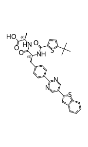 C[C@@H](NC(=O)[C@H](Cc1ccc(-c2ncc(-c3cc4ccccc4s3)cn2)cc1)NC(=O)c1ccc(C(C)(C)C)s1)C(=O)O